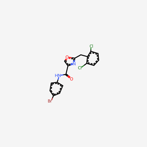 O=C(Nc1ccc(Br)cc1)c1coc(Cc2c(Cl)cccc2Cl)n1